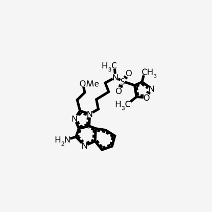 COCCc1nc2c(N)nc3ccccc3c2n1CCCCN(C)S(=O)(=O)c1c(C)noc1C